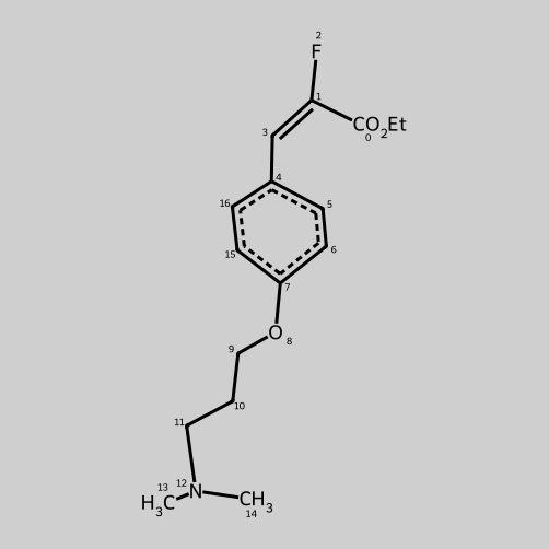 CCOC(=O)/C(F)=C\c1ccc(OCCCN(C)C)cc1